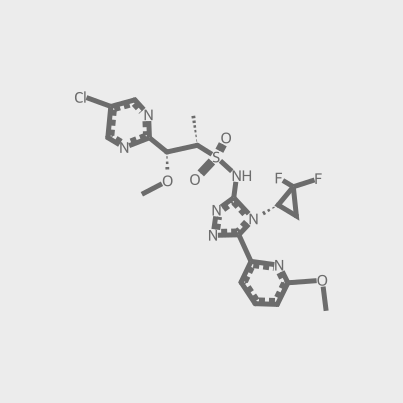 COc1cccc(-c2nnc(NS(=O)(=O)[C@@H](C)[C@H](OC)c3ncc(Cl)cn3)n2[C@H]2CC2(F)F)n1